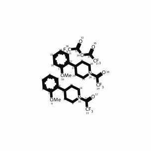 COc1ccccc1C1CCN(C(=O)C(F)(F)F)CC1.COc1ccccc1C1CCN(C(=O)C(F)(F)F)CC1.O=C(OC(=O)C(F)(F)F)C(F)(F)F